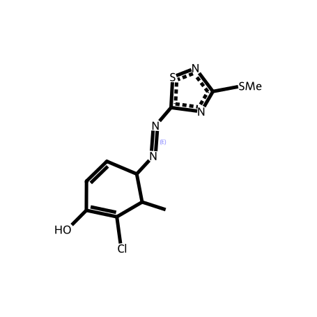 CSc1nsc(/N=N/C2C=CC(O)=C(Cl)C2C)n1